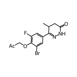 CC(=O)COc1c(F)cc(C2=NNC(=O)CC2C)cc1Br